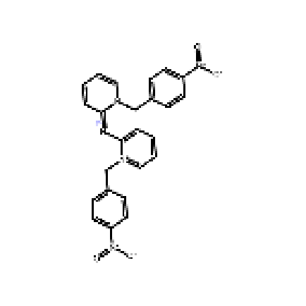 O=[N+]([O-])c1ccc(Cn2cccc/c2=N/c2cccc[n+]2Cc2ccc([N+](=O)[O-])cc2)cc1